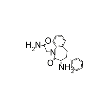 NC(=O)CN1C(=O)[C@H](N)[C@@H](c2ccccc2)Cc2ccccc21